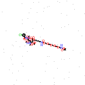 COC(=O)[C@@]1(OCCCCCCNC(=O)OCCOCCOCCOCCOCCNC(=O)OC(C)(C)C)C[C@H](OC(C)=O)[C@@H](NC(C)=O)[C@H]([C@H](OC(C)=O)[C@@H](CNC(=O)c2cccc(Cl)c2)OC(C)=O)O1